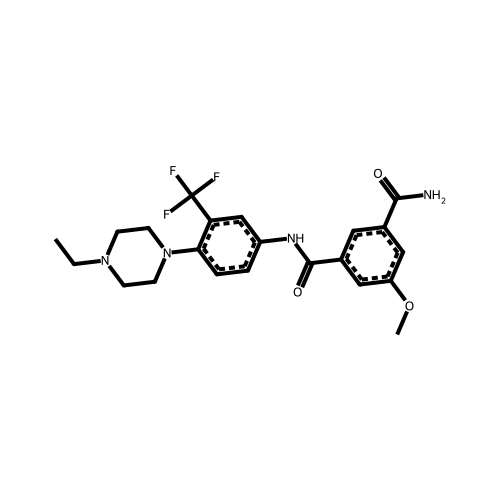 CCN1CCN(c2ccc(NC(=O)c3cc(OC)cc(C(N)=O)c3)cc2C(F)(F)F)CC1